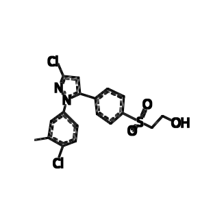 Cc1cc(-n2nc(Cl)cc2-c2ccc(S(=O)(=O)CCO)cc2)ccc1Cl